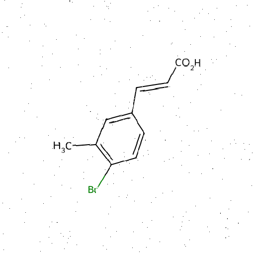 Cc1cc(C=CC(=O)O)ccc1Br